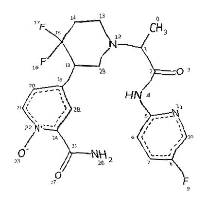 CC(C(=O)Nc1ccc(F)cn1)N1CCC(F)(F)C(c2cc[n+]([O-])c(C(N)=O)c2)C1